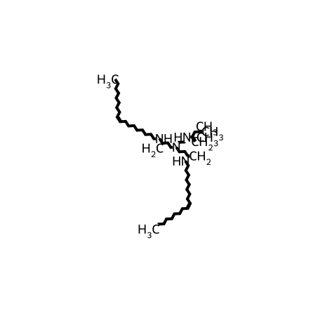 C=C(CCN(CCNC(=C)CC(C)(C)C)CCC(=C)NCCCCCCCC/C=C\CCCCCCCC)NCCCCCCCC/C=C\CCCCCCCC